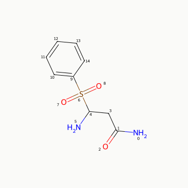 NC(=O)CC(N)S(=O)(=O)c1ccccc1